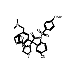 COc1ccc(S(=O)(=O)N2C(=O)C(c3cc(CN(C)C)ccc3OC)(N3C[C@H](F)C[C@H]3c3ncco3)c3cc(C#N)ccc32)cc1